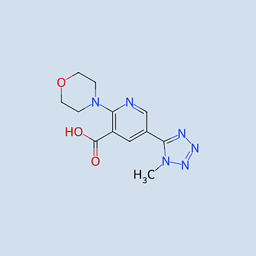 Cn1nnnc1-c1cnc(N2CCOCC2)c(C(=O)O)c1